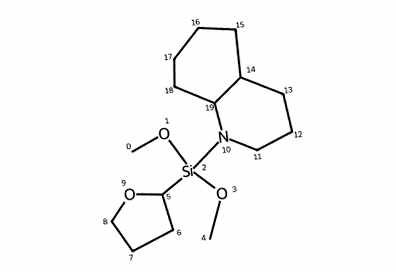 CO[Si](OC)(C1CCCO1)N1CCCC2CCCCC21